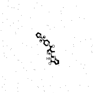 Cc1c(C(=O)N2CCC(S(=O)(=O)N3CCCC3)CC2)cnn1-c1nn2cccc2c(=O)[nH]1